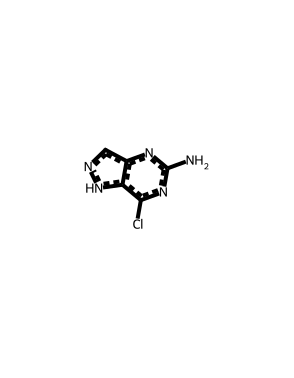 Nc1nc(Cl)c2[nH]ncc2n1